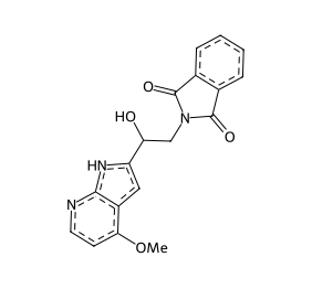 COc1ccnc2[nH]c(C(O)CN3C(=O)c4ccccc4C3=O)cc12